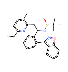 CCc1ccc(C)c(CC(N[S@@+]([O-])C(C)(C)C)c2ccccc2-c2noc3ccccc23)n1